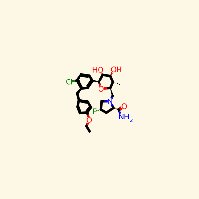 CCOc1ccc(Cc2cc([C@@H]3O[C@H](CN4C[C@@H](F)C[C@H]4C(N)=O)[C@@H](C)[C@H](O)[C@H]3O)ccc2Cl)cc1